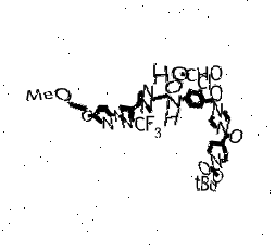 COCCOc1ccc(-n2cc(-c3cnc(C(=O)Nc4ccc(C(=O)N5CCN(C(=O)C6CCN(C(=O)OC(C)(C)C)CC6)CC5)c(Cl)c4)n3C)c(C(F)(F)F)n2)nc1.O=CO